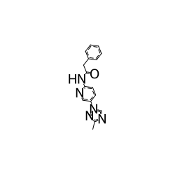 Cc1ncn(-c2ccc(NC(=O)Cc3ccccc3)nc2)n1